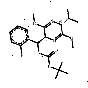 COC1=N[C@H](C(C)C)C(OC)=N[C@H]1C(NC(=O)OC(C)(C)C)c1ccccc1F